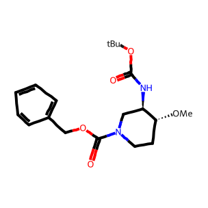 CO[C@@H]1CCN(C(=O)OCc2ccccc2)C[C@H]1NC(=O)OC(C)(C)C